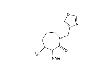 CNC1C(=O)N(Cc2cocn2)CCCC1C